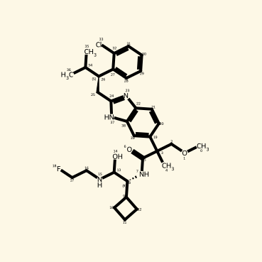 COCC(C)(C(=O)N[C@H](C1CCC1)C(O)NCCF)c1ccc2nc(C[C@H](c3ccccc3Cl)C(C)C)[nH]c2c1